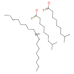 CC(C)CCCCCCC([O-])=S.CC(C)CCCCCCC([O-])=S.CCCCCCC[CH2][Sn+2][CH2]CCCCCCC